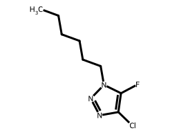 CCCCCCn1nnc(Cl)c1F